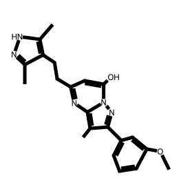 COc1cccc(-c2nn3c(O)cc(CCc4c(C)n[nH]c4C)nc3c2C)c1